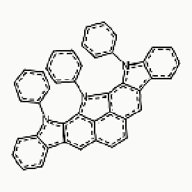 c1ccc(-n2c3ccccc3c3cc4ccc5cc6c7ccccc7n(-c7ccccc7)c6c6c5c4c(c32)n6-c2ccccc2)cc1